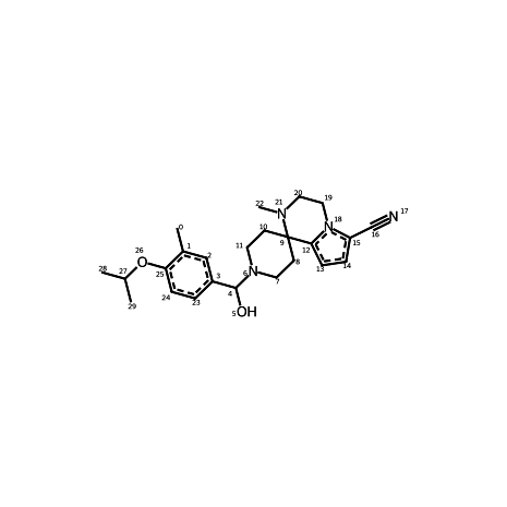 Cc1cc(C(O)N2CCC3(CC2)c2ccc(C#N)n2CCN3C)ccc1OC(C)C